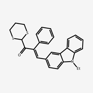 CCn1c2ccccc2c2cc(C=C(C(=O)C3SCCCS3)c3ccccc3)ccc21